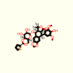 [2H]C1([2H])OC(=O)[C@@]2([2H])[C@H]1[C@H](O[C@@H]1O[C@@H]3CO[C@@H](c4cccs4)O[C@H]3[C@H](O)[C@H]1O)c1cc3c(cc1[C@@]2([2H])c1cc(OC)c(O)c(OC)c1)OCO3